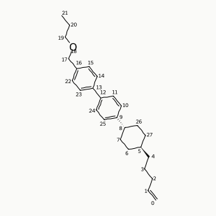 C=CCCC[C@H]1CC[C@H](c2ccc(-c3ccc(COCCC)cc3)cc2)CC1